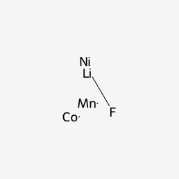 [Co].[Li][F].[Mn].[Ni]